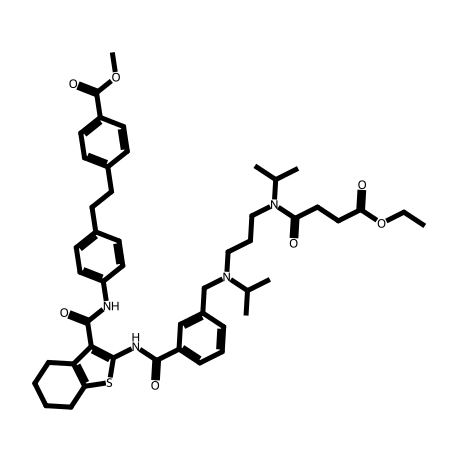 CCOC(=O)CCC(=O)N(CCCN(Cc1cccc(C(=O)Nc2sc3c(c2C(=O)Nc2ccc(CCc4ccc(C(=O)OC)cc4)cc2)CCCC3)c1)C(C)C)C(C)C